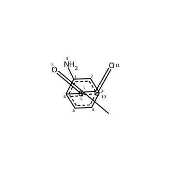 Nc1cc2ccc1c(=O)oc2=O